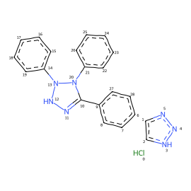 Cl.c1c[nH]nn1.c1ccc(C2=NNN(c3ccccc3)N2c2ccccc2)cc1